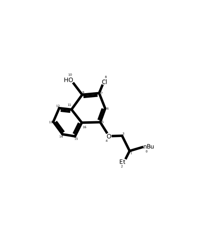 CCCCC(CC)COc1cc(Cl)c(O)c2ccccc12